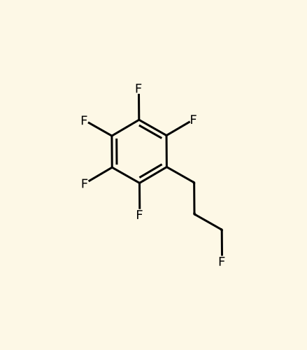 FCCCc1c(F)c(F)c(F)c(F)c1F